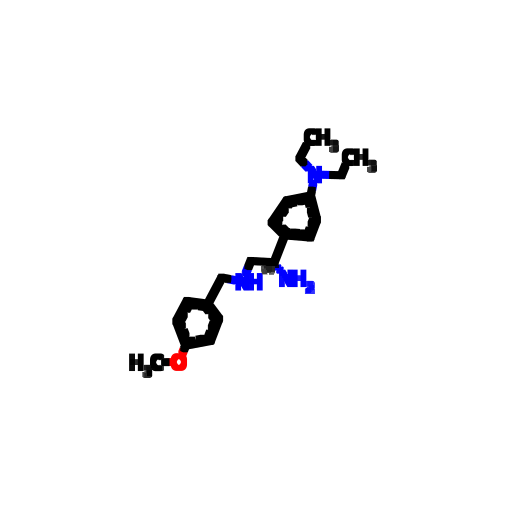 CCN(CC)c1ccc([C@H](N)CNCc2ccc(OC)cc2)cc1